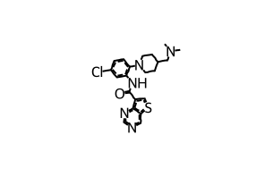 CN(C)CC1CCN(c2ccc(Cl)cc2NC(=O)c2csc3cncnc23)CC1